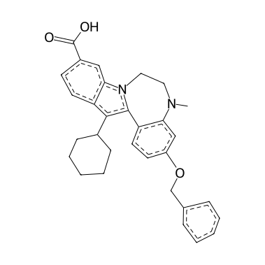 CN1CCn2c(c(C3CCCCC3)c3ccc(C(=O)O)cc32)-c2ccc(OCc3ccccc3)cc21